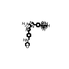 [2H]C([2H])([2H])C([2H])(C([2H])([2H])[2H])S(=O)(=O)c1ccc(-c2cnc(N)c(-c3cc(-c4ccc(CNC5CCOCC5)cc4)no3)n2)cc1